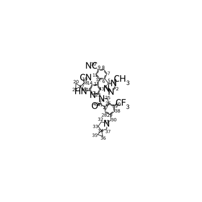 Cn1cnnc1-c1ccc(C#N)cc1-c1cc(NC2(CC#N)CC2)nc(N2Cc3c(cc(CN4CCC5(CC5)C4)cc3C(F)(F)F)C2=O)c1